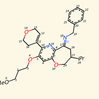 COCCCOc1cc2c(nc1C1=CCOCC1)/C(=N/Cc1ccccc1)CC(C(C)C)CO2